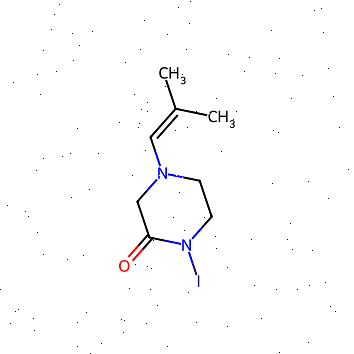 CC(C)=CN1CCN(I)C(=O)C1